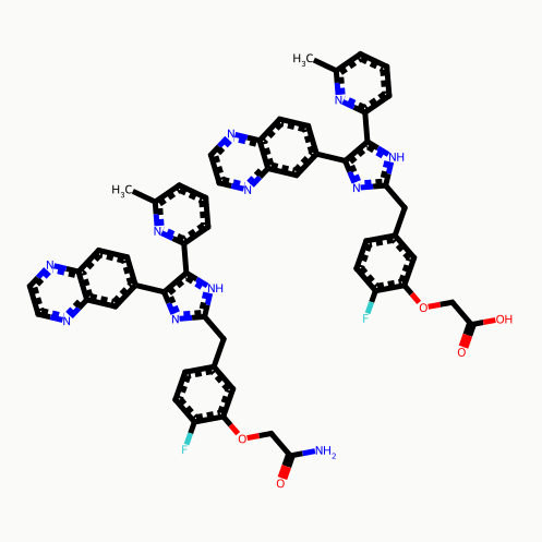 Cc1cccc(-c2[nH]c(Cc3ccc(F)c(OCC(=O)O)c3)nc2-c2ccc3nccnc3c2)n1.Cc1cccc(-c2[nH]c(Cc3ccc(F)c(OCC(N)=O)c3)nc2-c2ccc3nccnc3c2)n1